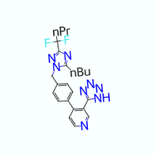 CCCCc1nc(C(F)(F)CCC)nn1Cc1ccc(-c2ccncc2-c2nnn[nH]2)cc1